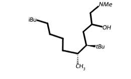 CCC(C)CCCC[C@@H](C)[C@@H](CC(O)CNC)C(C)(C)C